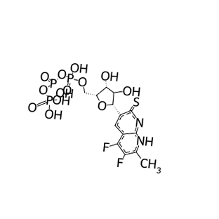 Cc1[nH]c2nc(=S)c([C@@H]3O[C@H](COP(=O)(O)OP(=O)(O)OP(=O)(O)O)[C@H](O)C3O)cc-2c(F)c1F